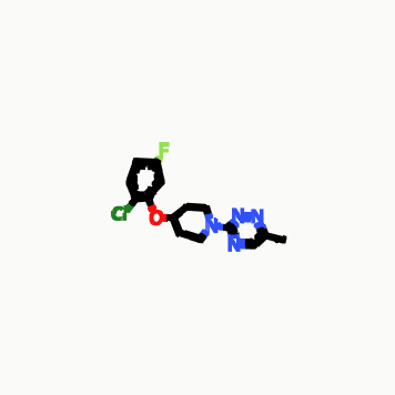 Cc1cnc(N2CCC(Oc3cc(F)ccc3Cl)CC2)nn1